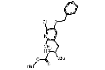 Cc1nc(Cl)c(OCc2ccccc2)cc1C[C@H](NC(=O)OC(C)(C)C)C(C)(C)C